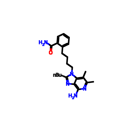 CCCCc1nc2c(N)nc(C)c(C)c2n1CCCCc1ccccc1C(N)=O